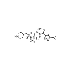 CCC[C@@H](C[C@H](CC)N(C)S(=O)(=O)CC1CCNCC1)NC(=O)c1cc(C2CC2)on1